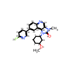 COC1CCCC(n2c(=O)n(C)c3cnc4ccc(-c5ccc(F)nc5)cc4c32)C1